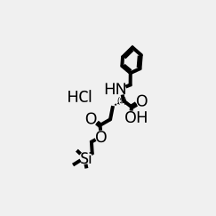 C[Si](C)(C)CCOC(=O)CC[C@H](NCc1ccccc1)C(=O)O.Cl